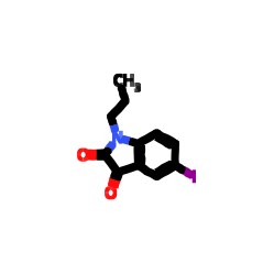 CCCN1C(=O)C(=O)c2cc(I)ccc21